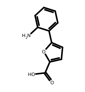 Nc1ccccc1-c1ccc(C(=O)O)o1